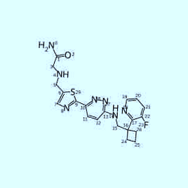 NC(=O)CNCc1cnc(-c2ccc(NCC3(c4ncccc4F)CCC3)nn2)s1